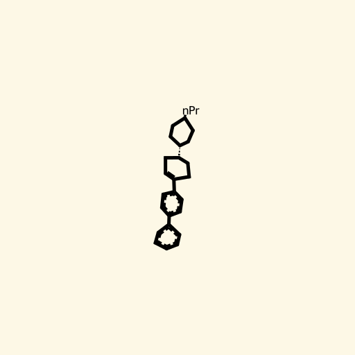 CCC[C@H]1CC[C@H](C2CC=C(c3ccc(-c4ccccc4)cc3)CC2)CC1